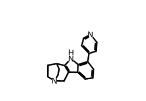 c1cc(-c2ccncc2)c2[nH]c3c(c2c1)CN1CCC3CC1